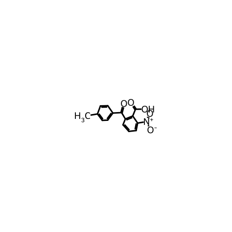 Cc1ccc(C(=O)c2cccc([N+](=O)[O-])c2C(=O)O)cc1